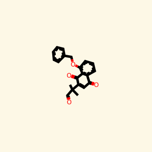 CC(C)(C=O)C1=CC(=O)c2cccc(OCc3ccccc3)c2C1=O